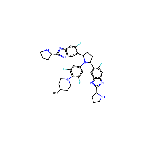 CC(C)(C)C1CCN(c2c(F)cc(N3[C@@H](c4cc5[nH]c([C@@H]6CCCN6)nc5cc4F)CC[C@H]3c3cc4[nH]c([C@@H]5CCCN5)nc4cc3F)cc2F)CC1